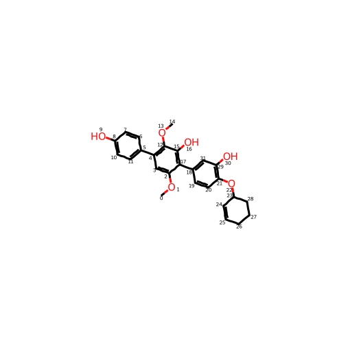 COc1cc(-c2ccc(O)cc2)c(OC)c(O)c1-c1ccc(OC2C=CCCC2)c(O)c1